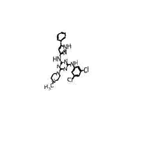 CN1CCN(c2nc(Nc3cc(Cl)cc(Cl)c3)nc(Nc3cc(-c4ccccc4)[nH]n3)n2)CC1